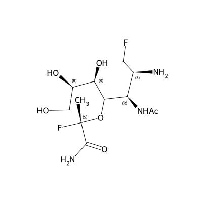 CC(=O)N[C@@H](C(O[C@@](C)(F)C(N)=O)[C@H](O)[C@H](O)CO)[C@H](N)CF